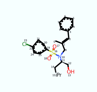 C/C(=C\c1ccccc1)CN([C@@H](CO)CC(C)C)S(=O)(=O)c1ccc(Cl)cc1